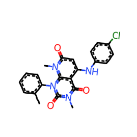 Cc1ccccc1-n1c(=O)n(C)c(=O)c2c(Nc3ccc(Cl)cc3)cc(=O)n(C)c21